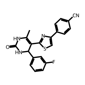 CC1=C(c2nc(-c3ccc(C#N)cc3)cs2)C(c2cccc(F)c2)NC(=O)N1